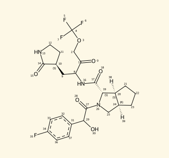 O=C(COC(F)(F)F)C(C[C@@H]1CCNC1=O)NC(=O)[C@@H]1[C@H]2CCC[C@H]2CN1C(=O)C(O)c1ccc(F)cc1